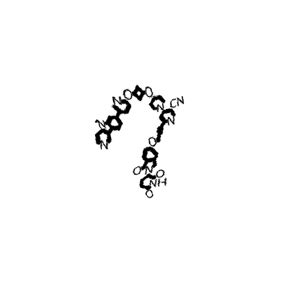 Cn1c2ccncc2c2ccc(-c3ccc(OC4CC(OC5CCN(c6cc(C#CCOc7ccc8c(c7)CN(C7CCC(=O)NC7=O)C8=O)ncc6C#N)CC5)C4)nc3)cc21